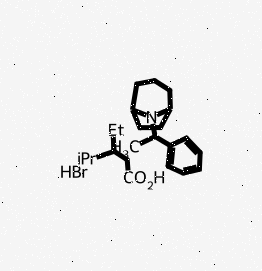 Br.CC(c1ccccc1)N1C2CCCC1CC2.CCC(CC(=O)O)C(C)C